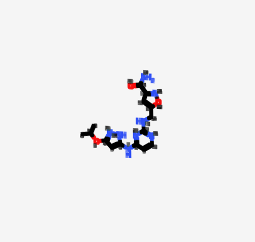 CC(C)Oc1cc(Nc2ccnc(NCc3cc(C(N)=O)no3)n2)[nH]n1